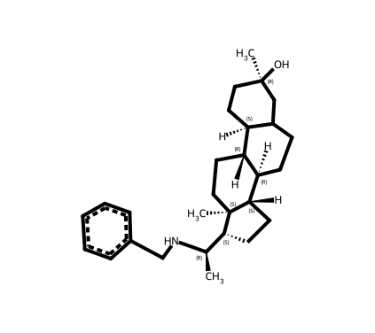 C[C@@H](NCc1ccccc1)[C@H]1CC[C@H]2[C@@H]3CCC4C[C@](C)(O)CC[C@@H]4[C@H]3CC[C@]12C